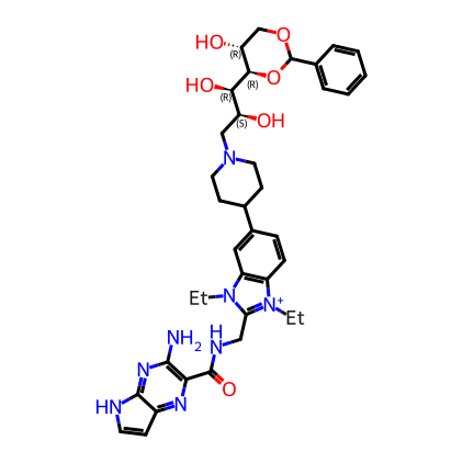 CCn1c(CNC(=O)c2nc3cc[nH]c3nc2N)[n+](CC)c2ccc(C3CCN(C[C@H](O)[C@@H](O)[C@@H]4OC(c5ccccc5)OC[C@H]4O)CC3)cc21